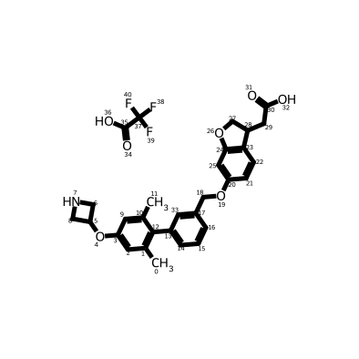 Cc1cc(OC2CNC2)cc(C)c1-c1cccc(COc2ccc3c(c2)OCC3CC(=O)O)c1.O=C(O)C(F)(F)F